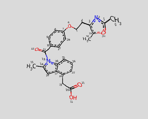 Cc1nc(CCOc2ccc(C(=O)n3c(C)cc4c(CC(=O)O)cccc43)cc2)c(C)o1